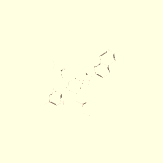 COC(=O)C[C@@H]1CN(S(=O)(=O)c2ccc3cc(Cl)ccc3c2)C[C@H](CC(=O)OC)N1c1ncc(Br)cn1